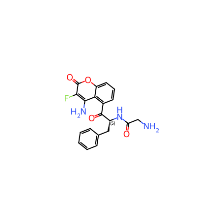 NCC(=O)N[C@@H](Cc1ccccc1)C(=O)c1cccc2oc(=O)c(F)c(N)c12